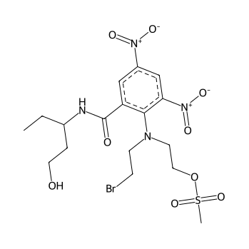 CCC(CCO)NC(=O)c1cc([N+](=O)[O-])cc([N+](=O)[O-])c1N(CCBr)CCOS(C)(=O)=O